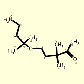 CC(=O)C(C)(C)CCOC(C)(C)CCN